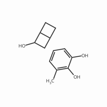 Cc1cccc(O)c1O.OC1CC2CCC12